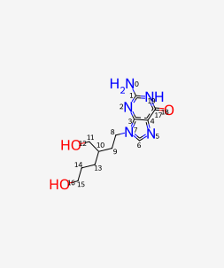 Nc1nc2c(ncn2CCC(CO)CCCO)c(=O)[nH]1